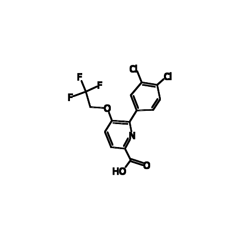 O=C(O)c1ccc(OCC(F)(F)F)c(-c2ccc(Cl)c(Cl)c2)n1